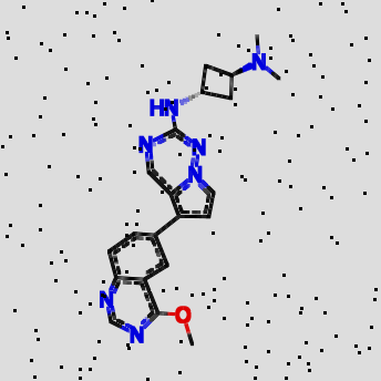 COc1ncnc2ccc(-c3ccn4nc(N[C@H]5C[C@H](N(C)C)C5)ncc34)cc12